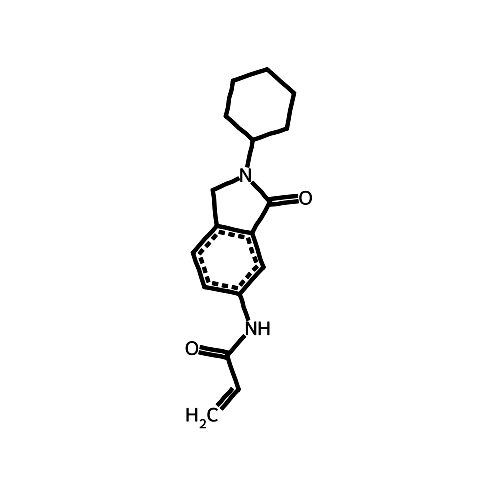 C=CC(=O)Nc1ccc2c(c1)C(=O)N(C1CCCCC1)C2